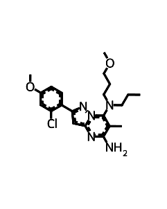 CCCN(CCCOC)c1c(C)c(N)nc2cc(-c3ccc(OC)cc3Cl)nn12